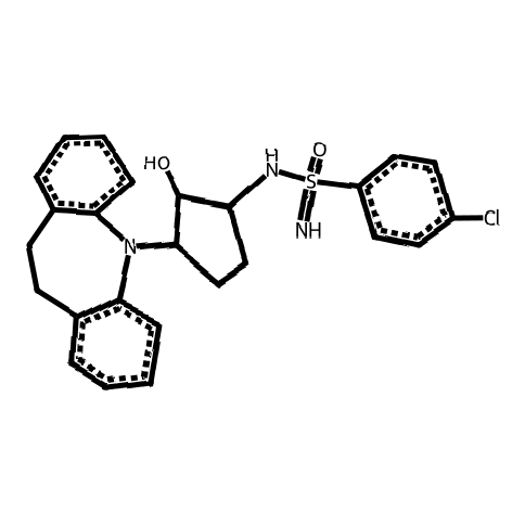 N=S(=O)(NC1CCC(N2c3ccccc3CCc3ccccc32)C1O)c1ccc(Cl)cc1